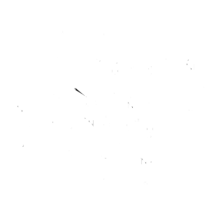 Cc1nc(C)c(C(=O)N[C@@H](CC2CCCCC2)C(=O)N([C@H]2CCCNCC2=O)S(=O)(=O)c2ccccn2)s1